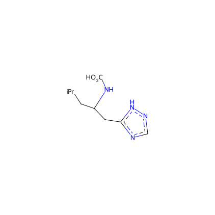 CC(C)CC(Cc1ncn[nH]1)NC(=O)O